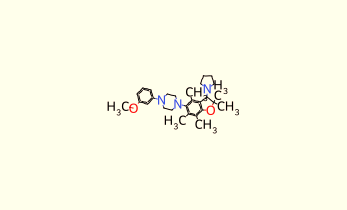 COc1cccc(N2CCN(c3c(C)c(C)c4c(c3C)C(N3CCCC3)C(C)(C)O4)CC2)c1